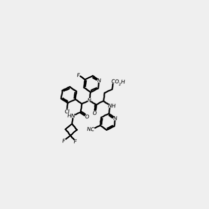 N#Cc1ccnc(NC(CCC(=O)O)C(=O)N(c2cncc(F)c2)C(C(=O)NC2CC(F)(F)C2)c2ccccc2Cl)c1